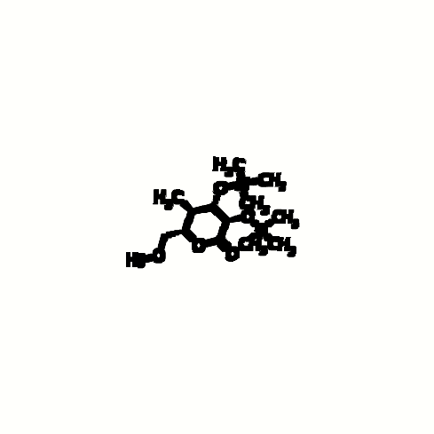 C[C@H]1[C@H](O[Si](C)(C)C)[C@@H](O[Si](C)(C)C)C(=O)O[C@@H]1COS